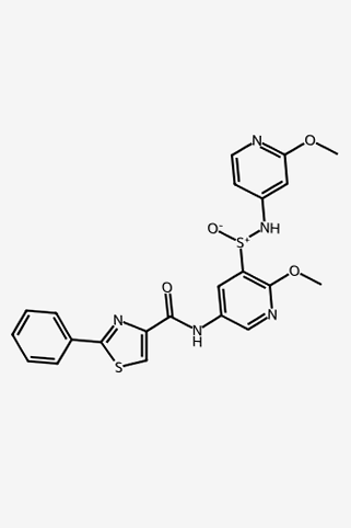 COc1cc(N[S+]([O-])c2cc(NC(=O)c3csc(-c4ccccc4)n3)cnc2OC)ccn1